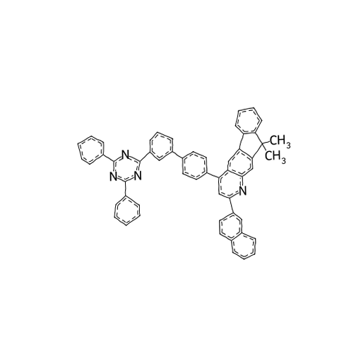 CC1(C)c2ccccc2-c2cc3c(-c4ccc(-c5cccc(-c6nc(-c7ccccc7)nc(-c7ccccc7)n6)c5)cc4)cc(-c4ccc5ccccc5c4)nc3cc21